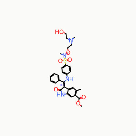 COC(=O)c1cc2c(cc1C)/C(=C(\Nc1ccc(S(=O)(=O)N(C)OCCN(C)CCO)cc1)c1ccccc1)C(=O)N2